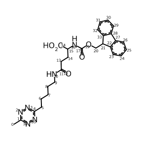 Cc1nnc(CCCCCNC(=O)CCC(NC(=O)OCC2c3ccccc3-c3ccccc32)C(=O)O)nn1